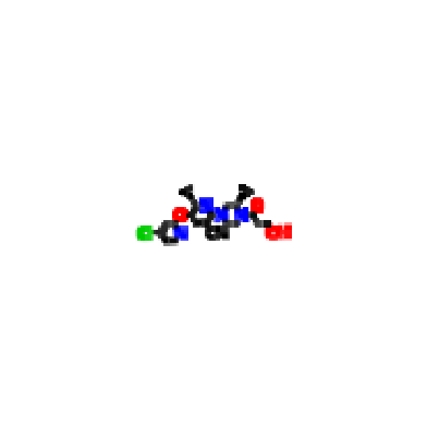 N#Cc1cc(Oc2cc(Cl)ccn2)c(C2CC2)nc1N1CCN(C(=O)CCO)[C@H](C2CC2)C1